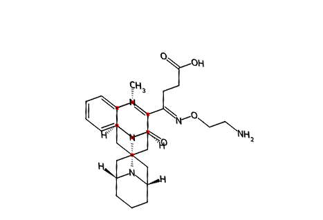 C[C@@H]1C[C@@H]2C[C@H](C1)C[C@@H](N1[C@@H]3CCC[C@H]1C[C@@H](n1c(=O)c(/C(CCC(=O)O)=N/OCCN)nc4ccccc41)C3)C2